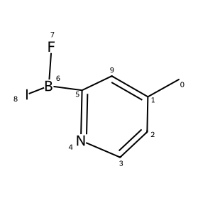 Cc1ccnc(B(F)I)c1